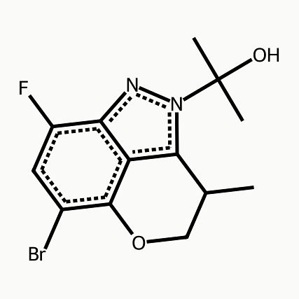 CC1COc2c(Br)cc(F)c3nn(C(C)(C)O)c1c23